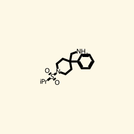 CC(C)S(=O)(=O)N1CCC(CN)(c2ccccc2)CC1